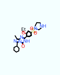 CCOc1cc(S(=O)(=O)N2CCCNCC2)ccc1-c1nc2c(C)nc(C3CCCCC3)n2c(=O)[nH]1